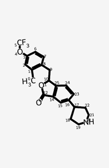 Cc1cc(OC(F)(F)F)ccc1CC1OC(=O)c2cc(C3CCNCC3)ccc21